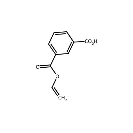 C=COC(=O)c1cccc(C(=O)O)c1